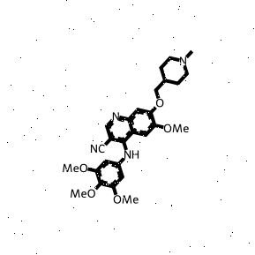 COc1cc2c(Nc3cc(OC)c(OC)c(OC)c3)c(C#N)cnc2cc1OCC1CCN(C)CC1